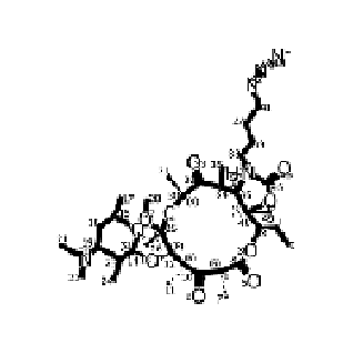 CC[C@H]1OC(=O)[C@H](C)C(=O)[C@H](C)[C@@H](O[C@@H]2OC(C)CC(N(C)C)C2C)[C@](C)(OC)C[C@@H](C)C(=O)C(C)[C@H]2N(CCCCN=[N+]=[N-])C(=O)O[C@]12C